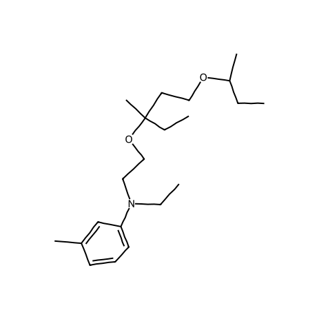 CCC(C)OCCC(C)(CC)OCCN(CC)c1cccc(C)c1